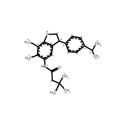 Cc1c(NC(=O)CC(C)(C)C)cc2c(c1C)OCC2c1ccc(C(C)C)cc1